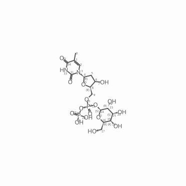 Cc1cn([C@H]2CC(O)[C@@H](COP(=O)(O[C@@H]3O[C@H](CO)[C@H](O)[C@H](O)[C@H]3O)OP(=O)(O)O)O2)c(=O)[nH]c1=O